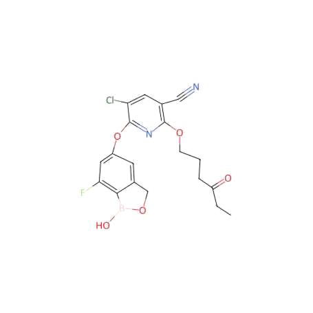 CCC(=O)CCCOc1nc(Oc2cc(F)c3c(c2)COB3O)c(Cl)cc1C#N